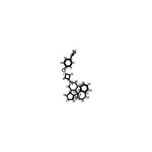 N#Cc1ccc(O[C@H]2C[C@@H](N3CCC(C4(C5CCCC5)NCCc5ccccc54)CC3)C2)cc1